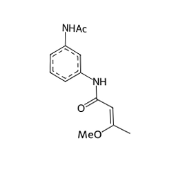 CO/C(C)=C\C(=O)Nc1cccc(NC(C)=O)c1